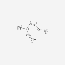 C#CC(/C=C\SCC)C(C)C